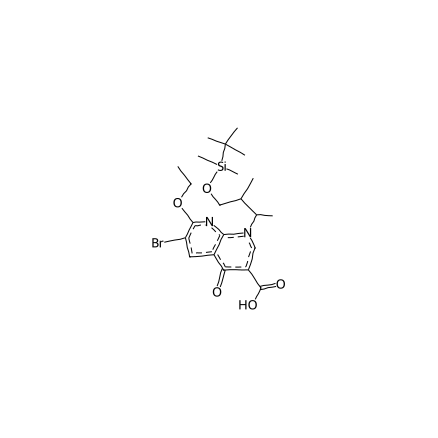 CCOc1nc2c(cc1Br)c(=O)c(C(=O)O)cn2C(C)C(C)CO[Si](C)(C)C(C)(C)C